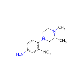 CC1CN(c2ccc(N)cc2[N+](=O)[O-])CCN1C